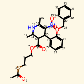 CC(=O)SCCCOC(=O)C1C(C)NC(C)=C([N+](=O)[O-])C1c1ccccc1OCc1ccccc1